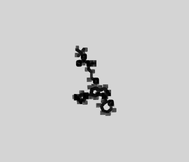 CC(C)(C)OC(=O)NCCCOc1cc(-n2cnnc2)cc2c1cnn2C1CCCCO1